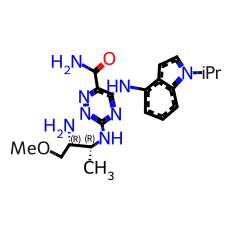 COC[C@H](N)[C@@H](C)Nc1nnc(C(N)=O)c(Nc2cccc3c2ccn3C(C)C)n1